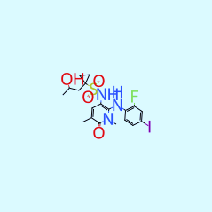 Cc1cc(NS(=O)(=O)C2(CC(C)O)CC2)c(Nc2ccc(I)cc2F)n(C)c1=O